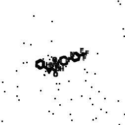 O=C(O)C1(NS(=O)(=O)N2CCN(c3ccc(C(F)(F)F)cn3)CC2)CC1c1ccccc1